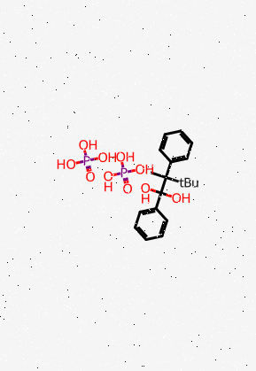 CC(C)(C)C(C)(c1ccccc1)C(O)(O)c1ccccc1.O=P(O)(O)O.O=P(O)(O)O